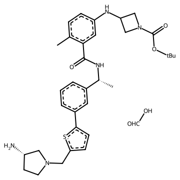 Cc1ccc(NC2CN(C(=O)OC(C)(C)C)C2)cc1C(=O)N[C@H](C)c1cccc(-c2ccc(CN3CC[C@H](N)C3)s2)c1.O=CO